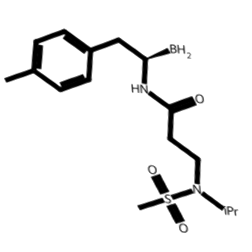 B[C@H](Cc1ccc(C)cc1)NC(=O)CCN(C(C)C)S(C)(=O)=O